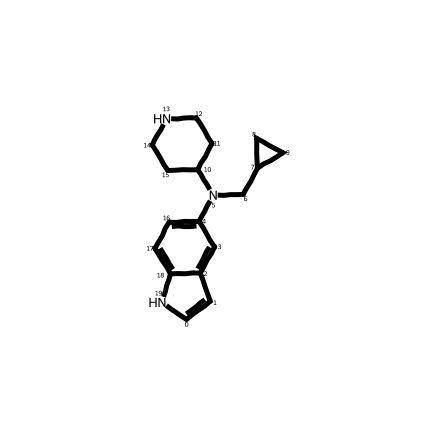 c1cc2cc(N(CC3CC3)C3CCNCC3)ccc2[nH]1